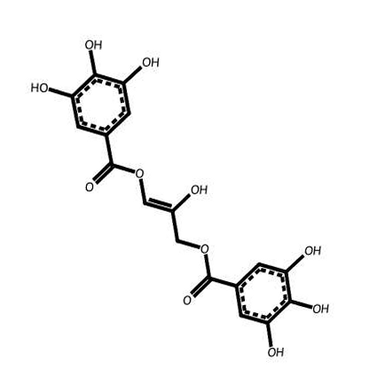 O=C(O/C=C(\O)COC(=O)c1cc(O)c(O)c(O)c1)c1cc(O)c(O)c(O)c1